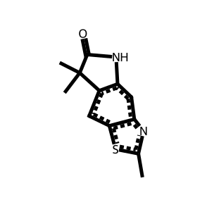 Cc1nc2cc3c(cc2s1)C(C)(C)C(=O)N3